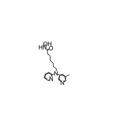 Cc1cncc(N(CCCCCCC(=O)NO)c2ccccn2)c1